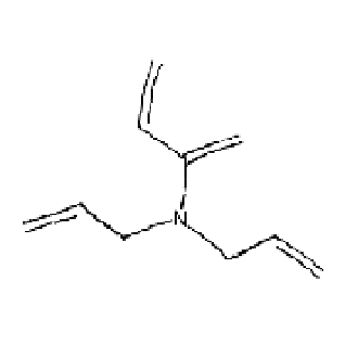 C=CCN(CC=C)C(=C)C=C